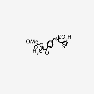 COC(=O)ON(C)C(=O)c1ccc(CN(Cc2cccs2)C(=O)O)cc1